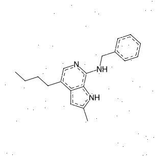 CCCCc1cnc(NCc2ccccc2)c2[nH]c(C)cc12